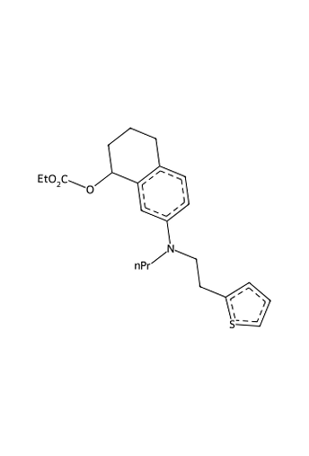 CCCN(CCc1cccs1)c1ccc2c(c1)C(OC(=O)OCC)CCC2